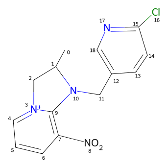 CC1C[n+]2cccc([N+](=O)[O-])c2N1Cc1ccc(Cl)nc1